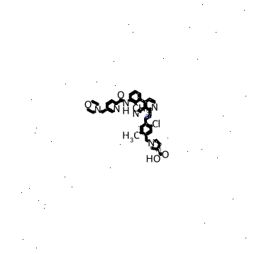 Cc1cc(/C=C/c2nccc(-c3cccc(NC(=O)c4ccc(CN5CCOCC5)cn4)c3C)c2C#N)c(Cl)cc1CN1CC[C@@H](C(=O)O)C1